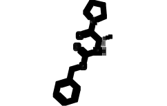 C[C@H](NC(=O)OCc1ccccc1)C(=O)N1CCCC1